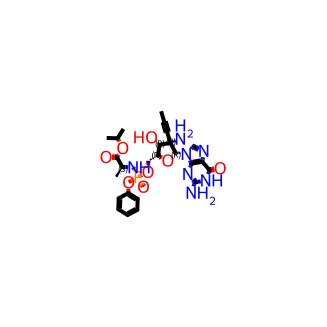 CC#C[C@@]1(N)[C@@H](O)[C@@H](COP(=O)(N[C@@H](C)C(=O)OC(C)C)Oc2ccccc2)O[C@H]1n1cnc2c(=O)[nH]c(N)nc21